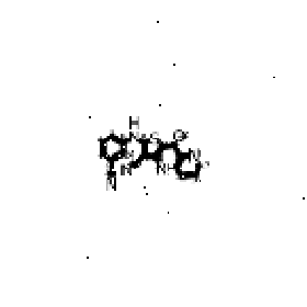 N#Cc1cccc(Nc2sc(C(=O)c3ccccn3)c(N)c2C#N)c1